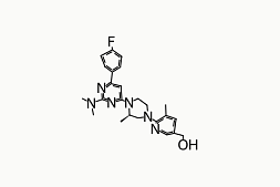 Cc1cc(CO)cnc1N1CCN(c2cc(-c3ccc(F)cc3)nc(N(C)C)n2)[C@H](C)C1